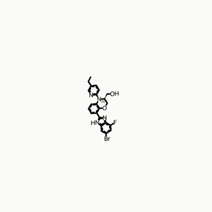 CCc1ccc(N2c3cccc(-c4nc5c(F)cc(Br)cc5[nH]4)c3OC[C@@H]2CO)nc1